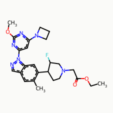 CCOC(=O)CN1CCC(c2cc3c(cnn3-c3cc(N4CCC4)nc(OC)n3)cc2C)C(F)C1